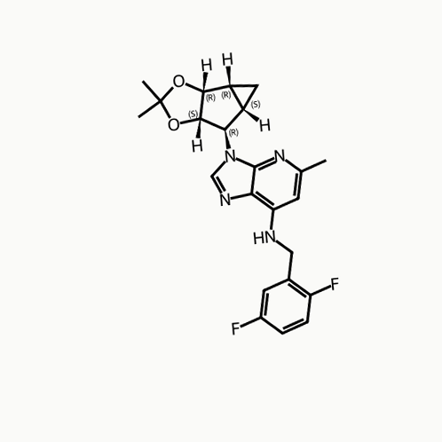 Cc1cc(NCc2cc(F)ccc2F)c2ncn([C@@H]3[C@H]4C[C@H]4[C@H]4OC(C)(C)O[C@H]43)c2n1